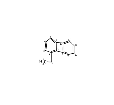 [CH2]Cc1cccc2c1-c1ccccc1-2